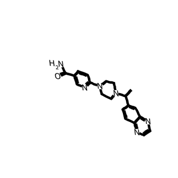 CC(c1ccc2nccnc2c1)N1CCN(c2ccc(C(N)=O)cn2)CC1